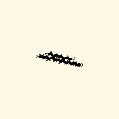 CCCCCCCCCC.CCCCCCCCCCCCCCCC